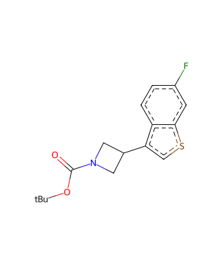 CC(C)(C)OC(=O)N1CC(c2csc3cc(F)ccc23)C1